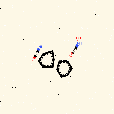 N=C=O.N=C=O.O.c1ccccc1.c1ccccc1